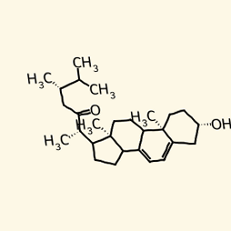 CC(C)[C@@H](C)CC(=O)[C@@H](C)C1CCC2C3=CC=C4C[C@@H](O)CC[C@]4(C)C3CC[C@@]21C